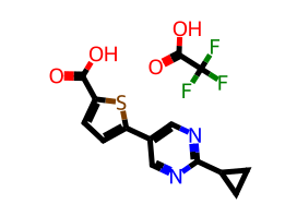 O=C(O)C(F)(F)F.O=C(O)c1ccc(-c2cnc(C3CC3)nc2)s1